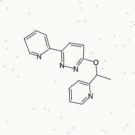 CC(Oc1ccc(-c2ccccn2)nn1)c1ccccn1